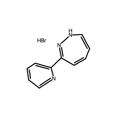 Br.C1=CNN=C(c2ccccn2)C=C1